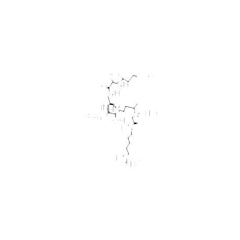 CCCCC[C@@H](NC(=O)CNC(=O)[C@@H](CC)NC(=O)CCC=O)C(O)NCCC(C)N(C=O)CC(=O)NCCCCCNC=O